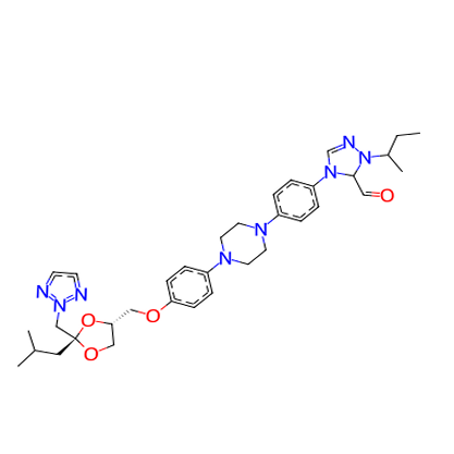 CCC(C)N1N=CN(c2ccc(N3CCN(c4ccc(OC[C@@H]5CO[C@](CC(C)C)(Cn6nccn6)O5)cc4)CC3)cc2)C1C=O